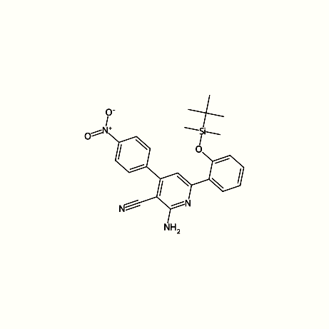 CC(C)(C)[Si](C)(C)Oc1ccccc1-c1cc(-c2ccc([N+](=O)[O-])cc2)c(C#N)c(N)n1